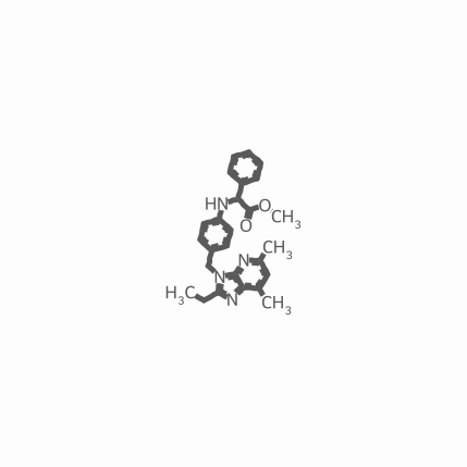 CCc1nc2c(C)cc(C)nc2n1Cc1ccc(NC(C(=O)OC)c2ccccc2)cc1